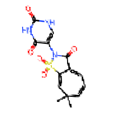 CC1(C)C=CC=C2C(=O)N(c3c[nH]c(=O)[nH]c3=O)S(=O)(=O)C2=C1